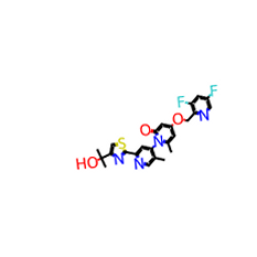 Cc1cnc(-c2nc(C(C)(C)O)cs2)cc1-n1c(C)cc(OCc2ncc(F)cc2F)cc1=O